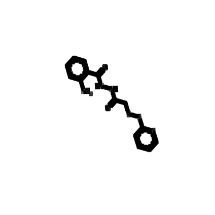 Nc1ccccc1C(=O)NNC(=O)CSSc1ccccn1